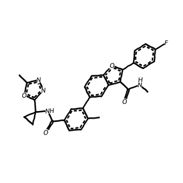 CNC(=O)c1c(-c2ccc(F)cc2)oc2ccc(-c3cc(C(=O)NC4(c5nnc(C)o5)CC4)ccc3C)cc12